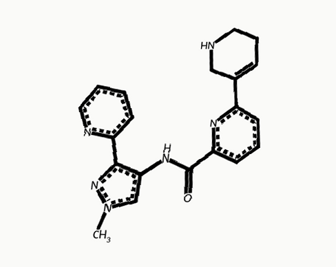 Cn1cc(NC(=O)c2cccc(C3=CCCNC3)n2)c(-c2ccccn2)n1